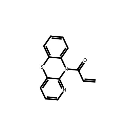 C=CC(=O)N1c2ccccc2Sc2cccnc21